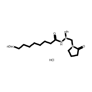 CCCCCCCCCCCCCCCCCC(=O)NN(CCC)CN1CCCC1=O.Cl